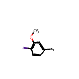 [CH2]C(C)c1ccc(I)c(OC(F)(F)F)c1